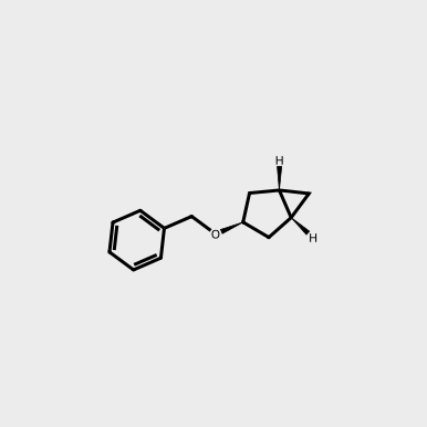 c1ccc(CO[C@H]2C[C@@H]3C[C@@H]3C2)cc1